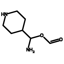 NC(OC=O)C1CCNCC1